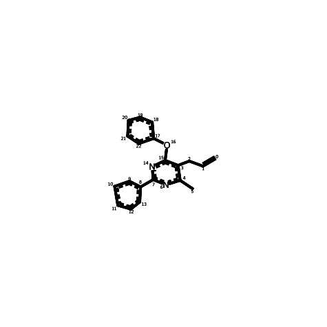 C=CCc1c(C)nc(-c2ccccc2)nc1Oc1ccccc1